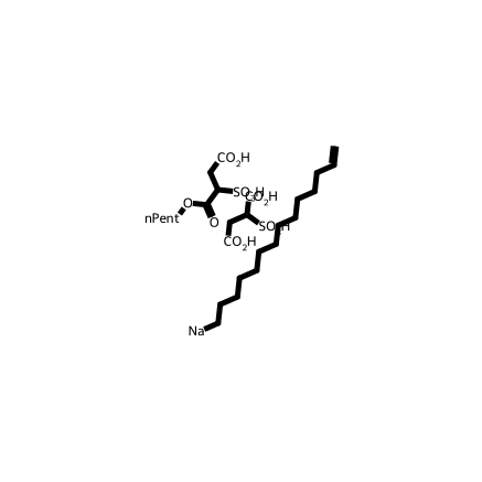 C=CCCCCCCCCCCC[CH2][Na].CCCCCOC(=O)C(CC(=O)O)S(=O)(=O)O.O=C(O)CC(C(=O)O)S(=O)(=O)O